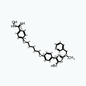 CCCCc1sc(N(C)Cc2cccnc2)nc1-c1ccc(OCCCCCOc2ccc(C(=N)NO)cc2)cc1